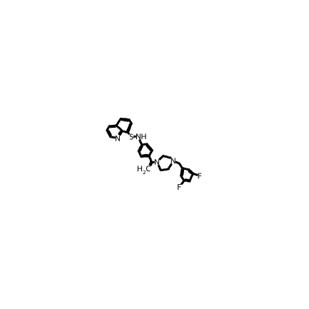 C=C(c1ccc(NSc2cccc3cccnc23)cc1)N1CCN(Cc2cc(F)cc(F)c2)CC1